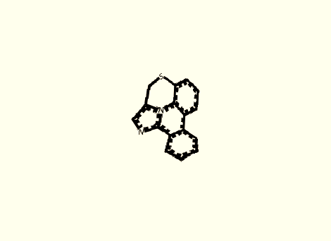 c1ccc2c(c1)c1cccc3c1n1c(cnc21)CS3